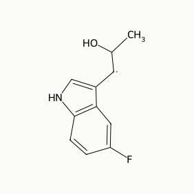 CC(O)[CH]c1c[nH]c2ccc(F)cc12